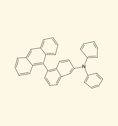 c1ccc(N(c2ccccc2)c2ccc3c(-c4c5ccccc5cc5ccccc45)cccc3c2)cc1